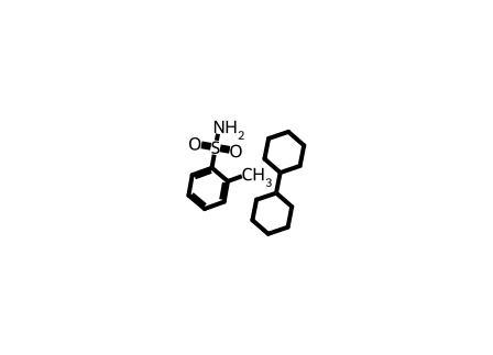 C1CCC(C2CCCCC2)CC1.Cc1ccccc1S(N)(=O)=O